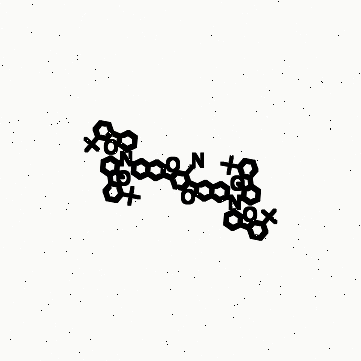 CC(C)(C)c1cccc2c1oc1c(N(c3ccc4cc5c(cc4c3)oc3c(C#N)c4c(cc35)oc3cc5cc(N(c6cccc7c6oc6c(C(C)(C)C)cccc67)c6cccc7c6oc6c(C(C)(C)C)cccc67)ccc5cc34)c3cccc4c3oc3c(C(C)(C)C)cccc34)cccc12